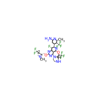 Cc1nc(N)cc(-c2nc3c4c(nc(OC[C@@H]5N(C)C[C@]56CC6(F)F)nc4c2F)N2CCNC[C@H]2[C@H](C(F)(F)F)O3)c1C(F)(F)F